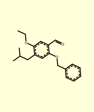 CCOc1cc(C=O)c(OCc2ccccc2)cc1CC(C)C